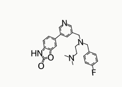 CN(C)CCN(Cc1ccc(F)cc1)Cc1cncc(-c2ccc3[nH]c(=O)oc3c2)c1